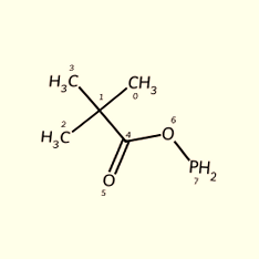 CC(C)(C)C(=O)OP